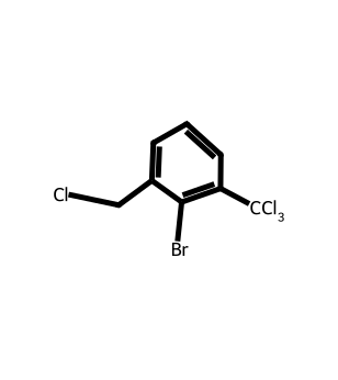 ClCc1cccc(C(Cl)(Cl)Cl)c1Br